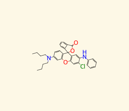 CCCCN(CCCC)c1ccc2c(c1)Oc1cc(Cl)c(Nc3ccccc3)cc1C21OC(=O)c2ccccc21